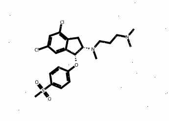 CN(C)CCCN(C)[C@H]1Cc2c(Cl)cc(Cl)cc2[C@H]1Oc1ccc(S(C)(=O)=O)cc1